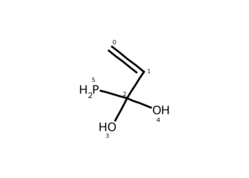 C=CC(O)(O)P